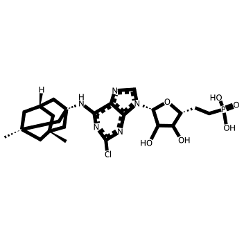 C[C@]12C[C@@H]3C[C@](C)(C1)C[C@@](Nc1nc(Cl)nc4c1ncn4[C@@H]1O[C@H](CCP(=O)(O)O)C(O)C1O)(C3)C2